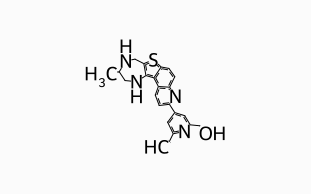 C#Cc1cc(-c2ccc3c(ccc4sc5c(c43)NC[C@@H](C)NC5)n2)cc(CO)n1